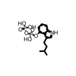 CC(C)CCc1c[nH]c2cccc(OP(=O)(O)OP(=O)(O)O)c12